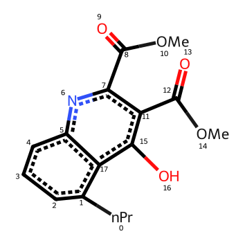 CCCc1cccc2nc(C(=O)OC)c(C(=O)OC)c(O)c12